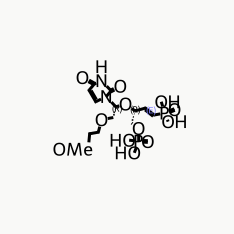 COCCOC[C@@H](O[C@H](/C=C/P(=O)(O)O)COP(=O)(O)O)n1ccc(=O)[nH]c1=O